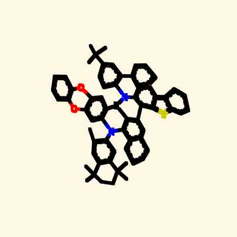 Cc1cc2c(cc1N1c3cc4c(cc3B3c5c(cc6ccccc6c51)-c1c(ccc5c1sc1ccccc15)N3c1ccc(C(C)(C)C)cc1-c1ccccc1)Oc1ccccc1O4)C(C)(C)CCC2(C)C